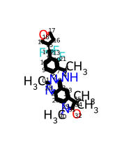 Cc1nc(N[C@H](C)c2cccc(C(F)(F)[C@@H]3CCOC3)c2F)c2cc3c(cc2n1)N(C)C(=O)C3(C)C